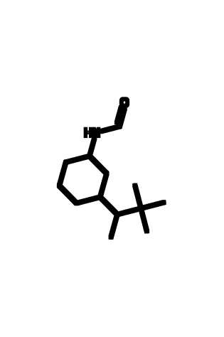 CC(C1CCCC(NC=O)C1)C(C)(C)C